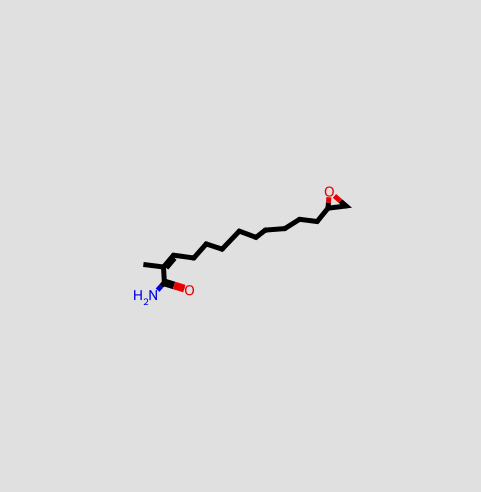 CC(=CCCCCCCCCCC1CO1)C(N)=O